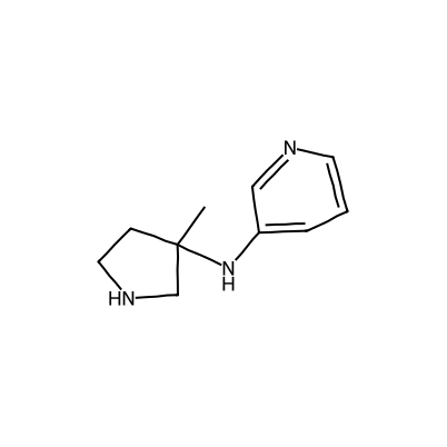 CC1(Nc2cccnc2)CCNC1